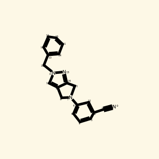 N#Cc1cccc(N2Cc3cn(Cc4ccccc4)nc3C2)c1